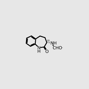 O=[C]N[C@H]1CCc2ccccc2NC1=O